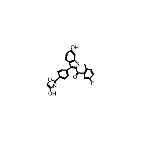 Cc1ccc(F)cc1C(=O)c1sc2cc(O)ccc2c1-c1ccc(-c2nc(O)co2)cc1